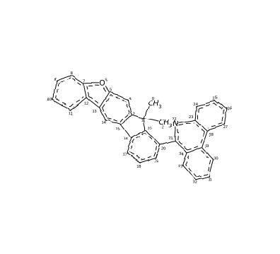 CC1(C)c2cc3oc4ccccc4c3cc2-c2cccc(-c3nc4ccccc4c4ccccc34)c21